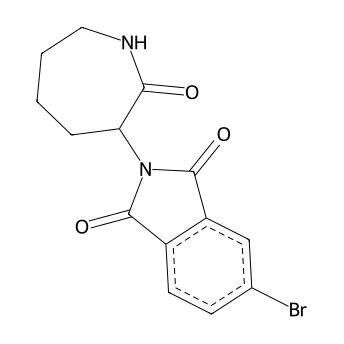 O=C1NCCCCC1N1C(=O)c2ccc(Br)cc2C1=O